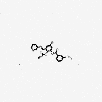 Cc1cccc(C(=O)Oc2cc(Br)cc(C=Nc3cccnc3)c2OC(=O)C(C)C)c1